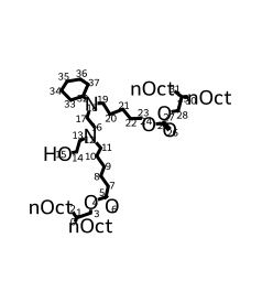 CCCCCCCCC(CCCCCCCC)COC(=O)CCCCCN(CCO)CCN(CCCCCOC(=O)OCC(CCCCCCCC)CCCCCCCC)C1CCCCC1